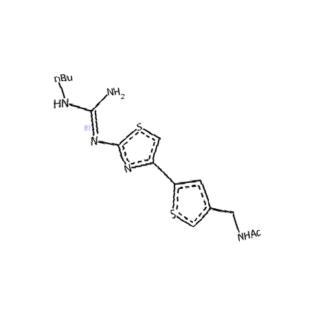 CCCCN/C(N)=N/c1nc(-c2cc(CNC(C)=O)cs2)cs1